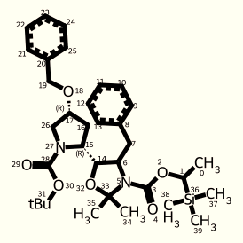 CC(OC(=O)N1C(Cc2ccccc2)C([C@H]2C[C@@H](OCc3ccccc3)CN2C(=O)OC(C)(C)C)OC1(C)C)[Si](C)(C)C